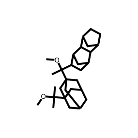 COC(C)(C)C12CC3CC(C1)CC(C(C)(OC)C1CC4CC1C1C5CCC(C5)C41)(C3)C2